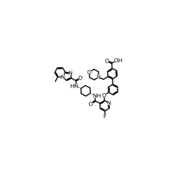 Cc1cccc2nc(C(=O)N[C@H]3CC[C@@H](NC(=O)c4cc(F)cnc4Oc4cccc(-c5ccc(C(=O)O)cc5CN5CCOCC5)c4)CC3)cn12